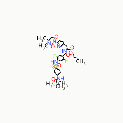 CCCCOC(=O)[C@H](Cc1ccc(-n2c(=O)cc(C)n(C)c2=O)nc1)NC(=O)c1cc(F)c(NS(=O)(=O)c2ccc(NC(=O)C(C)(C)C)cc2)cc1F